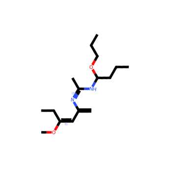 C=C(/C=C(\CC)OC)/N=C(/C)NC(CCC)OCCC